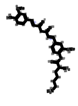 COc1cc(/C=C/C(=O)CC(=O)/C=C/c2ccc(OC(=O)C(N)CCCCN)c(OC)c2)ccc1O